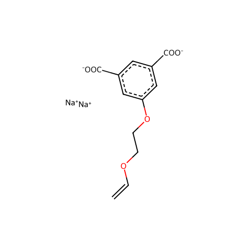 C=COCCOc1cc(C(=O)[O-])cc(C(=O)[O-])c1.[Na+].[Na+]